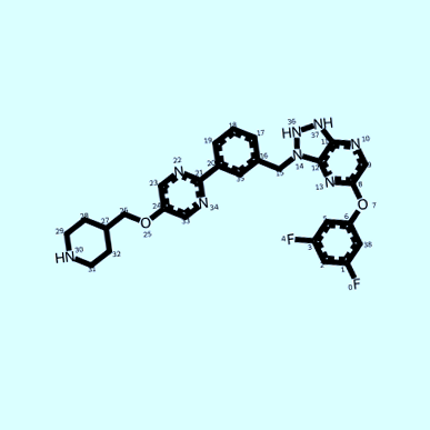 Fc1cc(F)cc(Oc2cnc3c(n2)N(Cc2cccc(-c4ncc(OCC5CCNCC5)cn4)c2)NN3)c1